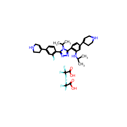 CC(C)Nc1cc(C2=CCNCC2)ccc1-c1nnc(-c2ccc(C3=CCNCC3)cc2F)n1C(C)C.O=C(O)C(F)(F)F.O=C(O)C(F)(F)F